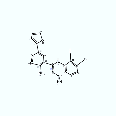 N=N/N=C(\Nc1cccc(F)c1F)c1cc(-c2ccco2)cnc1N